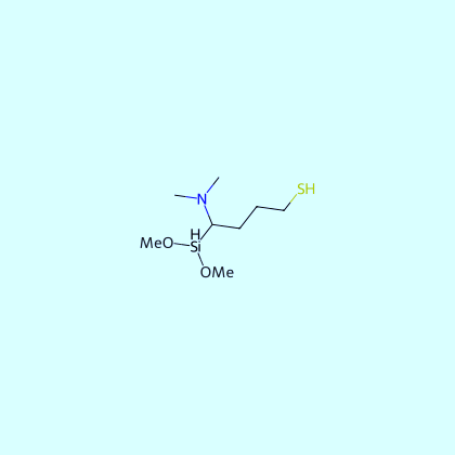 CO[SiH](OC)C(CCCS)N(C)C